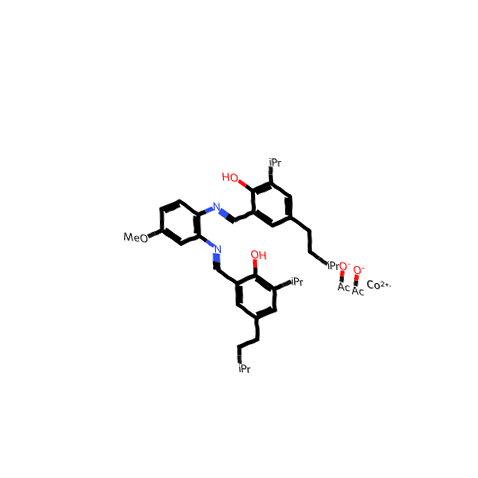 CC(=O)[O-].CC(=O)[O-].COc1ccc(N=Cc2cc(CCC(C)C)cc(C(C)C)c2O)c(N=Cc2cc(CCC(C)C)cc(C(C)C)c2O)c1.[Co+2]